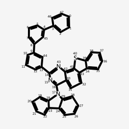 c1ccc(-c2cccc(-c3cccc(-c4nc(-n5c6ccccc6c6ccccc65)c5ccc6c7ccccc7sc6c5n4)c3)c2)cc1